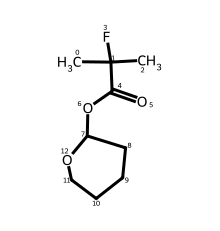 CC(C)(F)C(=O)OC1CCCCO1